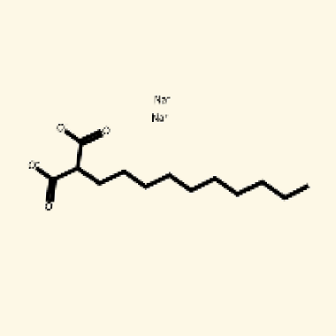 CCCCCCCCCCC(C(=O)[O-])C(=O)[O-].[Na+].[Na+]